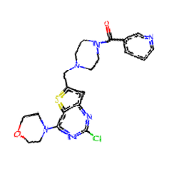 O=C(c1cccnc1)N1CCN(Cc2cc3nc(Cl)nc(N4CCOCC4)c3s2)CC1